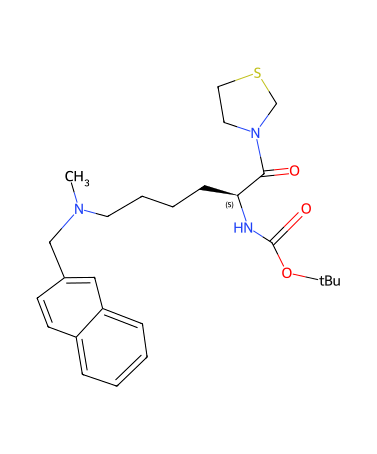 CN(CCCC[C@H](NC(=O)OC(C)(C)C)C(=O)N1CCSC1)Cc1ccc2ccccc2c1